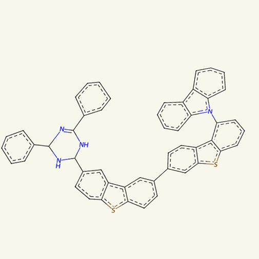 c1ccc(C2=NC(c3ccccc3)NC(c3ccc4sc5ccc(-c6ccc7c(c6)sc6cccc(-n8c9ccccc9c9ccccc98)c67)cc5c4c3)N2)cc1